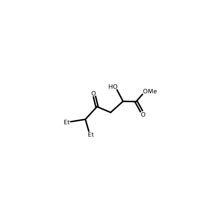 CCC(CC)C(=O)CC(O)C(=O)OC